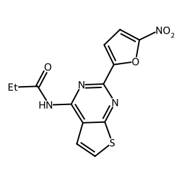 CCC(=O)Nc1nc(-c2ccc([N+](=O)[O-])o2)nc2sccc12